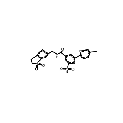 Cc1ccc(-c2cc(C(=O)NCc3ccc4c(c3)S(=O)(=O)CC4)cc(S(C)(=O)=O)c2)nc1